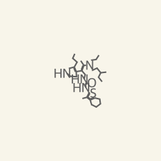 CCCC1=C(/C(CNC(=O)Nc2sc3c(c2C)CCCC3)=C(\C)N(CCC)CCC(C)CC)CCNC1